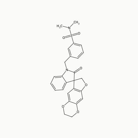 CN(C)S(=O)(=O)c1cccc(CN2C(=O)C3(COc4cc5c(cc43)OCCO5)c3ccccc32)c1